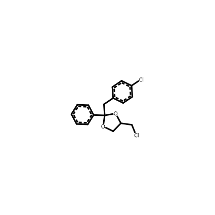 ClCC1COC(Cc2ccc(Cl)cc2)(c2ccccc2)O1